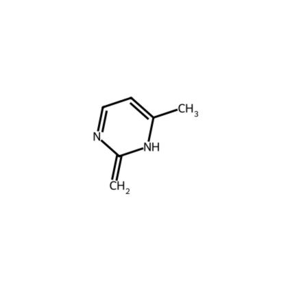 C=C1N=CC=C(C)N1